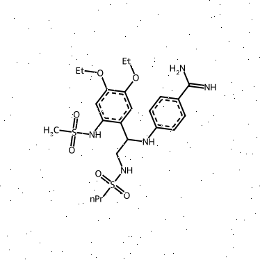 CCCS(=O)(=O)NCC(Nc1ccc(C(=N)N)cc1)c1cc(OCC)c(OCC)cc1NS(C)(=O)=O